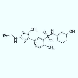 Cc1ccc(-c2sc(NCC(C)C)nc2C)cc1S(=O)(=O)NC1CCCC(O)C1